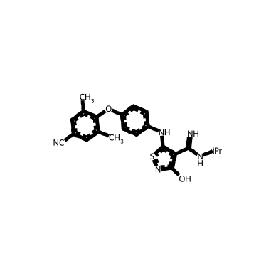 Cc1cc(C#N)cc(C)c1Oc1ccc(Nc2snc(O)c2C(=N)NC(C)C)cc1